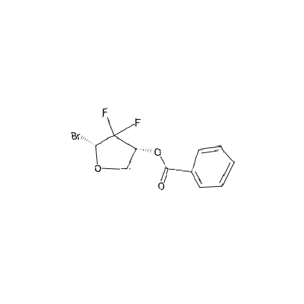 O=C(O[C@@H]1[CH]O[C@H](Br)C1(F)F)c1ccccc1